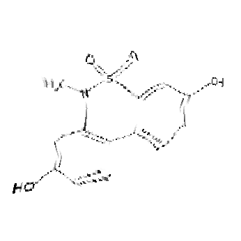 CN1c2cc(O)ccc2-c2ccc(O)cc2S1(=O)=O